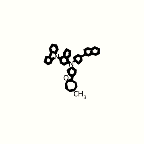 C/C1=C/C=C\c2oc3cc(N(c4ccc(-c5ccc6ccccc6c5)cc4)c4ccc(-n5c6ccccc6c6ccccc65)c5ccccc45)ccc3c2CC1